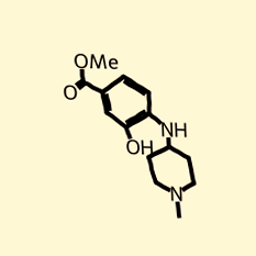 COC(=O)c1ccc(NC2CCN(C)CC2)c(O)c1